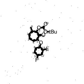 Cc1cccc(Oc2ccc(F)cc2F)c(=O)c1OC(=O)OC(C)(C)C